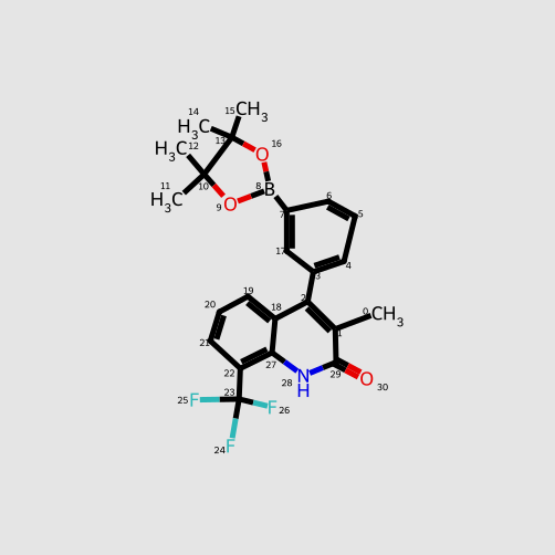 Cc1c(-c2cccc(B3OC(C)(C)C(C)(C)O3)c2)c2cccc(C(F)(F)F)c2[nH]c1=O